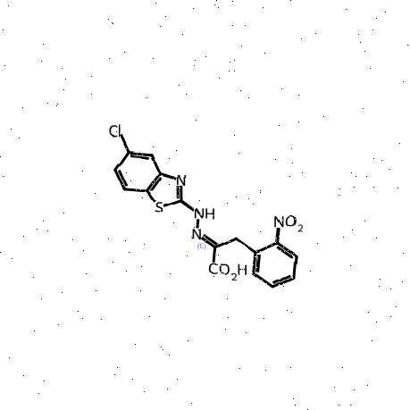 O=C(O)/C(Cc1ccccc1[N+](=O)[O-])=N/Nc1nc2cc(Cl)ccc2s1